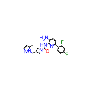 Cc1ccnn1CC1CN(C(=O)Nc2nc(-c3ccc(F)cc3F)ccc2N)C1